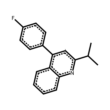 CC(C)c1[c]c(-c2ccc(F)cc2)c2ccccc2n1